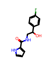 O=C(NCC(O)c1ccc(F)cc1)c1ccc[nH]1